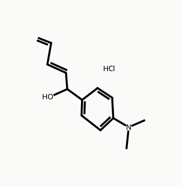 C=CC=CC(O)c1ccc(N(C)C)cc1.Cl